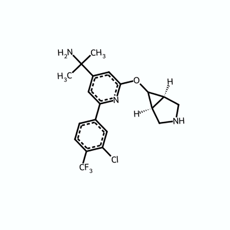 CC(C)(N)c1cc(OC2[C@H]3CNC[C@@H]23)nc(-c2ccc(C(F)(F)F)c(Cl)c2)c1